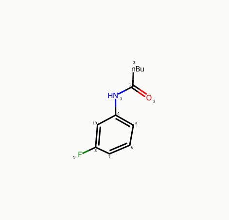 CCCCC(=O)Nc1cccc(F)c1